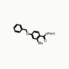 [CH2]CC(C)c1cc(OCc2ccccc2)ccc1C(=O)CCCCC